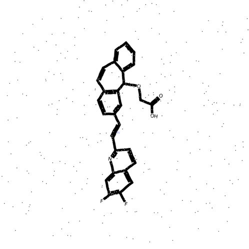 O=C(O)COC1c2ccccc2C=Cc2ccc(/C=C/c3ccc4cc(F)c(F)cc4n3)cc21